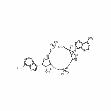 Nc1ncnc2c1ncn2[C@@H]1O[C@@H]2COP(=O)(O)CO[C@H]3[C@H](O)[C@@H](COP(=O)(O)CO[C@H]2[C@@H]1O)O[C@H]3n1cnc2c(N)ncnc21